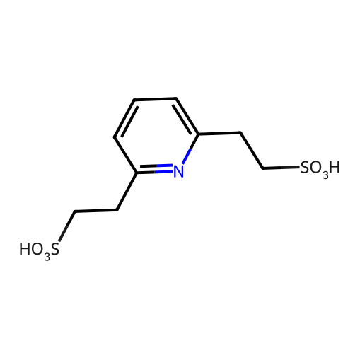 O=S(=O)(O)CCc1cccc(CCS(=O)(=O)O)n1